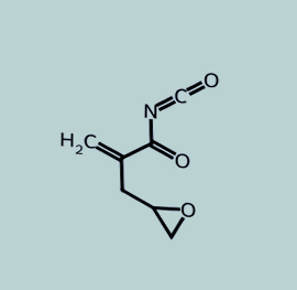 C=C(CC1CO1)C(=O)N=C=O